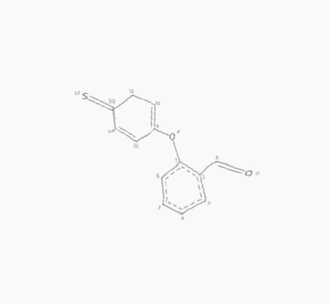 O=Cc1ccccc1OC1=CCC(=S)C=C1